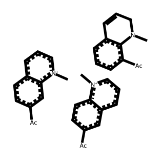 CC(=O)c1ccc2c(ccc[n+]2C)c1.CC(=O)c1ccc2ccc[n+](C)c2c1.CC(=O)c1cccc2c1N(C)CC=C2